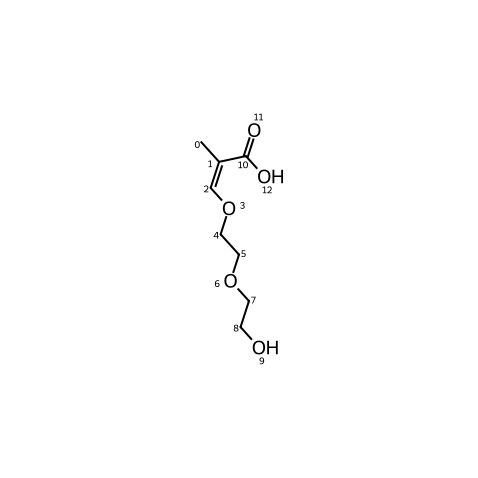 CC(=COCCOCCO)C(=O)O